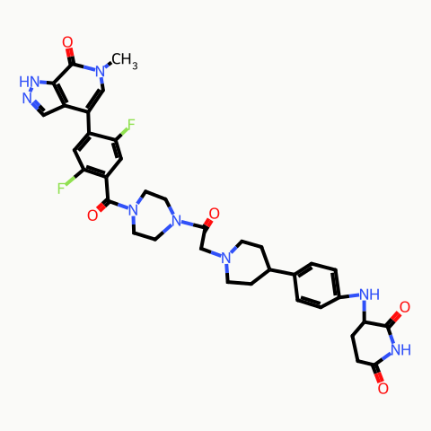 Cn1cc(-c2cc(F)c(C(=O)N3CCN(C(=O)CN4CCC(c5ccc(NC6CCC(=O)NC6=O)cc5)CC4)CC3)cc2F)c2cn[nH]c2c1=O